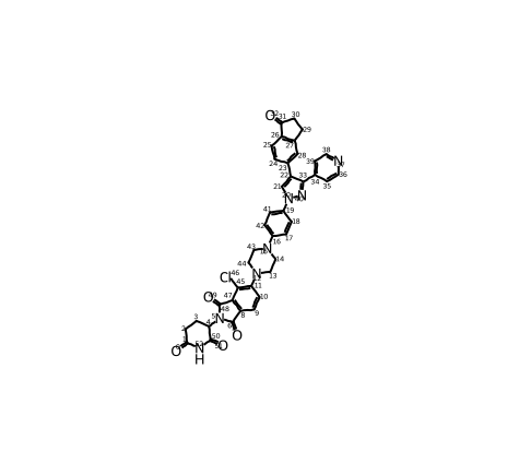 O=C1CCC(N2C(=O)c3ccc(N4CCN(c5ccc(-n6cc(-c7ccc8c(c7)CCC8=O)c(-c7ccncc7)n6)cc5)CC4)c(Cl)c3C2=O)C(=O)N1